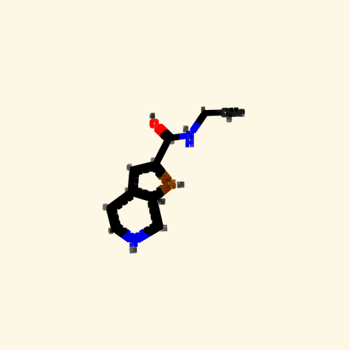 COCNC(=O)c1cc2ccncc2s1